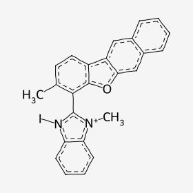 Cc1ccc2c(oc3cc4ccccc4cc32)c1-c1n(I)c2ccccc2[n+]1C